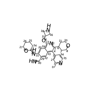 Cc1cc(-c2c(C3CCOCC3)nc(OC3CNC3)c3cc(NC4CCCCO4)c(C=N)cc23)ccn1